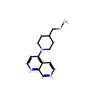 CSCC1CCN(c2ccnc3cnccc23)CC1